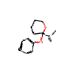 C[SiH](C)C1(Oc2ccccc2)CCCCO1